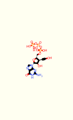 Nc1nc2c(ncn2[C@@H]2O[C@H](COP(=O)(O)OP(=O)(O)OP(=O)(O)O)[C@@H](C#CO)[C@H]2O)c(=O)[nH]1